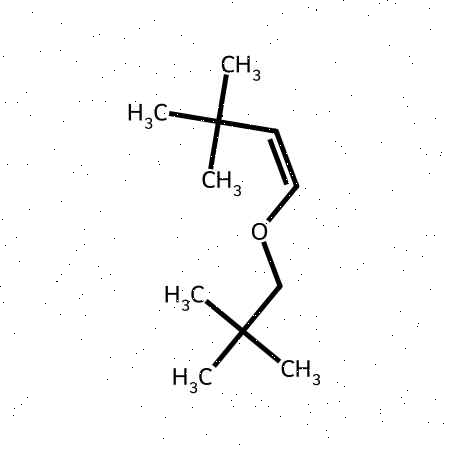 CC(C)(C)/C=C\OCC(C)(C)C